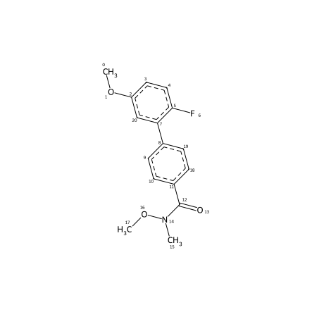 COc1ccc(F)c(-c2ccc(C(=O)N(C)OC)cc2)c1